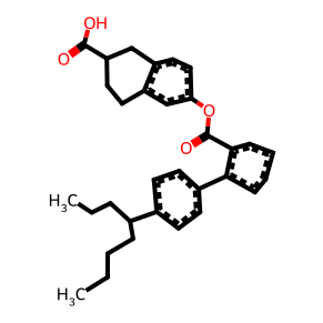 CCCCC(CCC)c1ccc(-c2ccccc2C(=O)Oc2ccc3c(c2)CCC(C(=O)O)C3)cc1